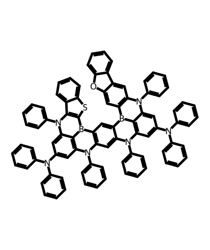 c1ccc(N(c2ccccc2)c2cc3c4c(c2)N(c2ccccc2)c2cc5c(cc2B4c2cc4c(cc2N3c2ccccc2)N(c2ccccc2)c2cc(N(c3ccccc3)c3ccccc3)cc3c2B4c2sc4ccccc4c2N3c2ccccc2)oc2ccccc25)cc1